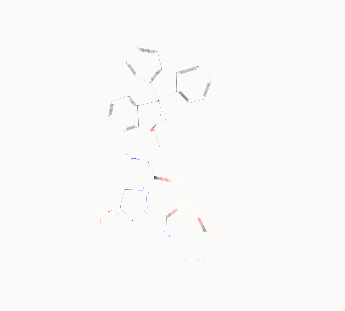 CC[C@H](C)[C@H](NC(=O)[C@@H]1C[C@@H](OC(C)(C)C)CN1C(=O)[C@@H](N)CC(=O)NC(c1ccccc1)(c1ccccc1)c1ccccc1)C(=O)OC(C)(C)C